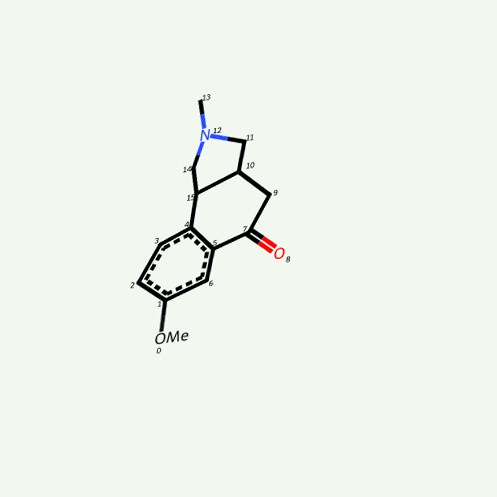 COc1ccc2c(c1)C(=O)CC1CN(C)CC21